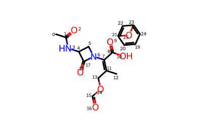 CC(=O)NC1CN(C(C(=O)O)=C(C)COC=O)C1=O.c1cc2cc(c1)O2